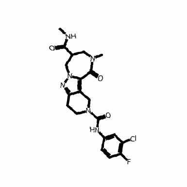 CNC(=O)C1CN(C)C(=O)c2c3c(nn2C1)CCN(C(=O)Nc1ccc(F)c(Cl)c1)C3